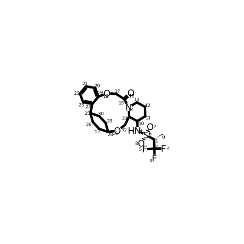 C[C@H](C(F)(F)F)S(=O)(=O)NC1CCCN2C(=O)COc3ccccc3C3CCC(CC3)OCC12